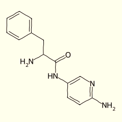 Nc1ccc(NC(=O)C(N)Cc2ccccc2)cn1